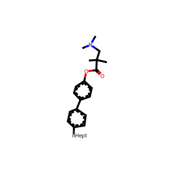 CCCCCCCc1ccc(-c2ccc(OC(=O)C(C)(C)CN(C)C)cc2)cc1